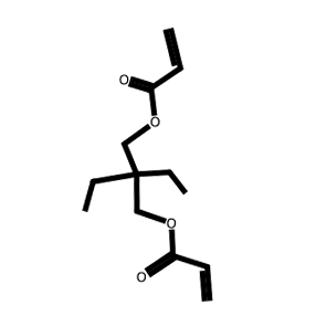 C=CC(=O)OCC(CC)(CC)COC(=O)C=C